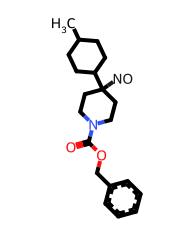 CC1CCC(C2(N=O)CCN(C(=O)OCc3ccccc3)CC2)CC1